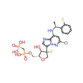 C[C@H](Nc1cc(Cl)nn2c([C@]3(F)CO[C@H](COP(=O)(O)CP(=O)(O)O)[C@H]3O)cnc12)c1ccccc1F